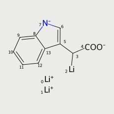 [Li+].[Li+].[Li][CH](C(=O)[O-])c1c[n-]c2ccccc12